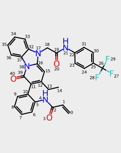 C=CC(=O)Nc1ccccc1-c1c(CC)cc2n(CC(=O)Nc3ccc(C(F)(F)F)cc3)c3ccccc3n2c1=O